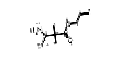 C=CCOC(=O)C(C)(C)C(N)CC